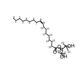 CCCCCCCC/C=C\CCCCCCCC(=O)ON(C(C)(C)O)C(C)(C)O